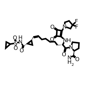 NC(=O)[C@@H]1CCCN1C(=O)[C@H](CCCCC/C=C\[C@@H]1C[C@@H]1C(=O)NS(=O)(=O)C1CC1)Nc1c(N2CCC(F)(F)C2)c(=O)c1=O